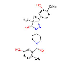 COc1ccc(C2=NN(C3CCN(C(=O)c4cc(O)ccc4C)CC3)C(=O)C2(C)C)cc1O